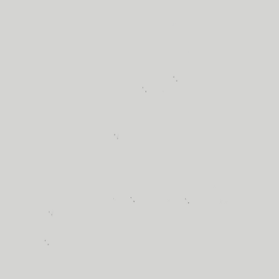 Cc1cc(CC(OC(=O)N2CCC(N3CCc4ccccc4NC3=O)CC2)C(=O)N2CCC(N3CCOCC3)CC2)cn2ccnc12